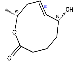 C[C@@H]1C/C=C/[C@H](O)CCCC(=O)O1